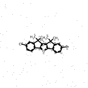 CC1(C)c2cc(Cl)ccc2-c2oc3c(c21)C(C)(C)c1cc(Br)ccc1-3